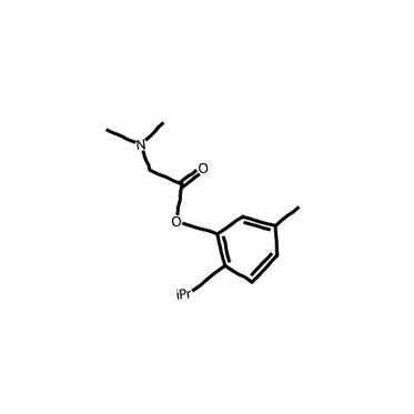 Cc1ccc(C(C)C)c(OC(=O)CN(C)C)c1